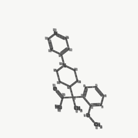 COc1ccccc1C(C)(C(=O)O)C1CCN(c2ccncc2)CC1